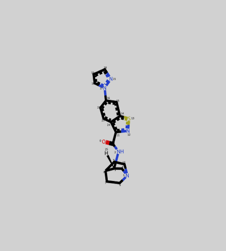 O=C(N[C@@H]1CN2CCC1CC2)c1nsc2cc(-n3cccn3)ccc12